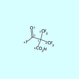 O=C(O)C(C(=O)F)(C(F)(F)F)C(F)(F)F